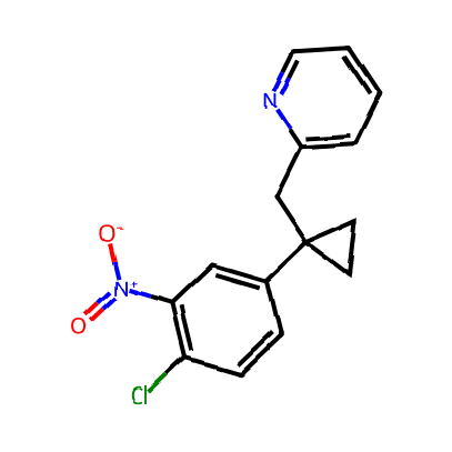 O=[N+]([O-])c1cc(C2(Cc3ccccn3)CC2)ccc1Cl